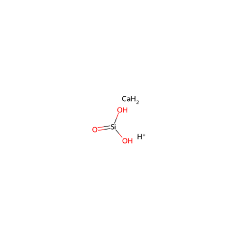 O=[Si](O)O.[CaH2].[H+]